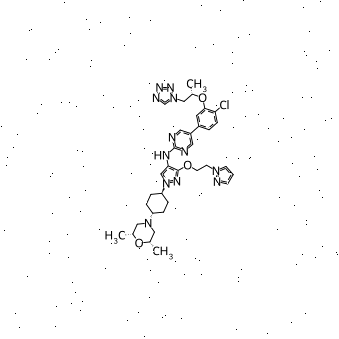 C[C@@H]1CN([C@H]2CC[C@H](n3cc(Nc4ncc(-c5ccc(Cl)c(O[C@@H](C)Cn6cnnn6)c5)cn4)c(OCCn4cccn4)n3)CC2)C[C@H](C)O1